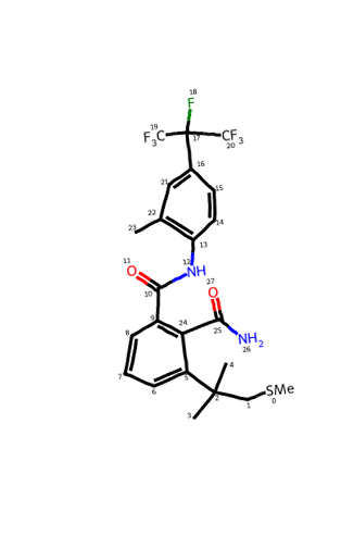 CSCC(C)(C)c1cccc(C(=O)Nc2ccc(C(F)(C(F)(F)F)C(F)(F)F)cc2C)c1C(N)=O